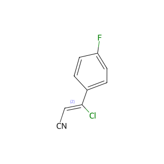 N#C/C=C(\Cl)c1ccc(F)cc1